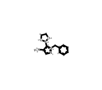 Nc1cnn(Cc2ccccc2)c1B1OCCO1